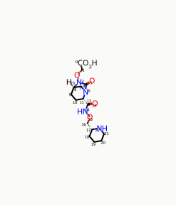 O=C(O)CON1C(=O)N2C[C@H]1CC[C@H]2C(=O)NOC[C@H]1CCCCN1